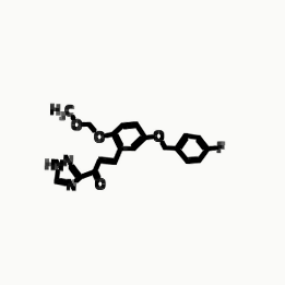 COCOc1ccc(OCc2ccc(F)cc2)cc1C=CC(=O)c1nc[nH]n1